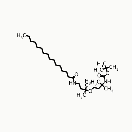 CCCCCCCCCCCCCCCC(=O)NCCC(C)(C)OCCC(C)(C)NC(=O)OC(C)(C)C